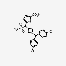 CS(=O)(=O)C(c1ccc(C(=O)O)s1)C1CN(C(c2ccc(Cl)cc2)c2ccc(Cl)cc2)C1